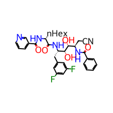 CCCCCC[C@@H](NC(=O)c1cccnc1)C(=O)N[C@@H](Cc1cc(F)cc(F)c1)[C@@H](O)[C@H](O)[C@@H](CC#N)NC(=O)c1ccccc1